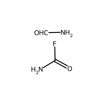 NC(=O)F.NC=O